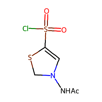 CC(=O)NN1C=C(S(=O)(=O)Cl)SC1